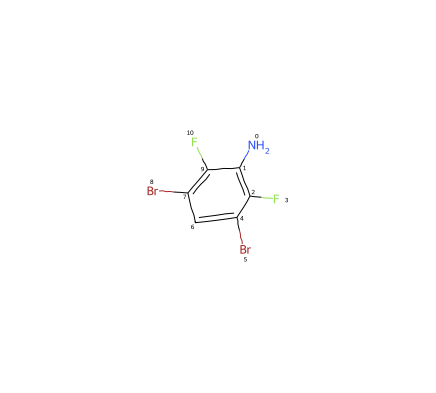 Nc1c(F)c(Br)cc(Br)c1F